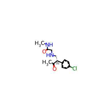 CNC(=O)CNC[C@@H](C(C)=O)c1ccc(Cl)cc1